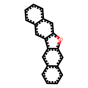 c1ccc2cc3c(cc2c1)oc1cc2ccccc2cc13